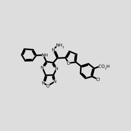 NN=C(c1ccc(-c2ccc(Cl)c(C(=O)O)c2)o1)c1nc2nonc2nc1Nc1ccccc1